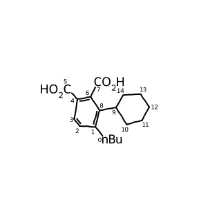 CCCCc1ccc(C(=O)O)c(C(=O)O)c1C1CCCCC1